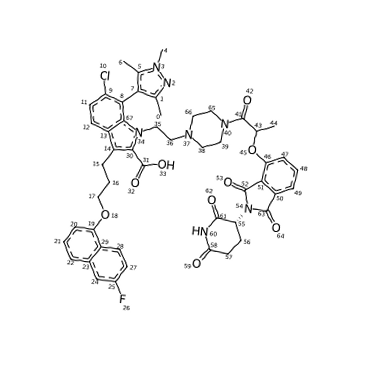 Cc1nn(C)c(C)c1-c1c(Cl)ccc2c(CCCOc3cccc4cc(F)ccc34)c(C(=O)O)n(CCN3CCN(C(=O)C(C)Oc4cccc5c4C(=O)N([C@@H]4CCC(=O)NC4=O)C5=O)CC3)c12